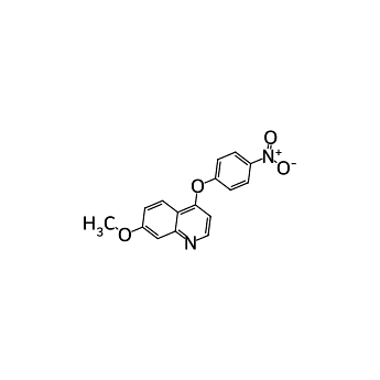 COc1ccc2c(Oc3ccc([N+](=O)[O-])cc3)ccnc2c1